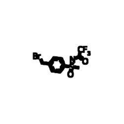 CS(=O)(=NC(=O)C(F)(F)F)c1ccc(CBr)cc1